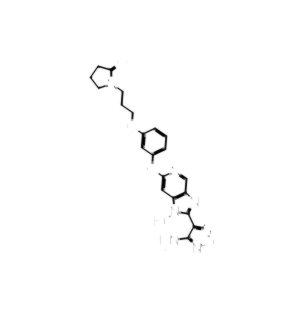 CCn1c(-c2nonc2N)nc2cnc(Oc3cccc(OCCCN4CCCC4=O)c3)cc21